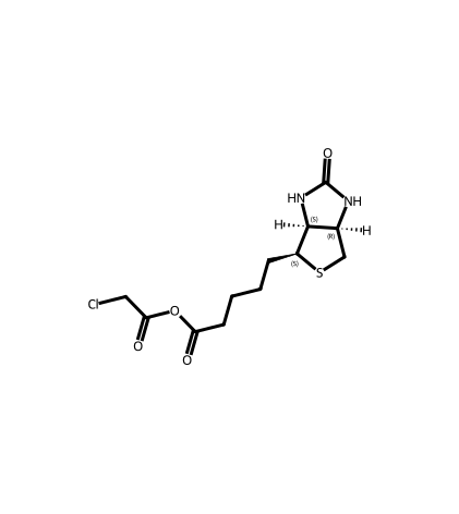 O=C1N[C@H]2[C@H](CS[C@H]2CCCCC(=O)OC(=O)CCl)N1